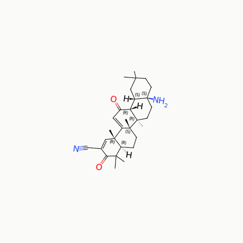 CC1(C)CC[C@]2(N)CC[C@]3(C)[C@H](C(=O)C=C4[C@@]5(C)C=C(C#N)C(=O)C(C)(C)[C@@H]5CC[C@]43C)[C@@H]2C1